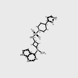 CN(c1ncnc2[nH]ccc12)C1CC(NS(=O)(=O)N2CCC(c3cc[nH]n3)CC2)C1